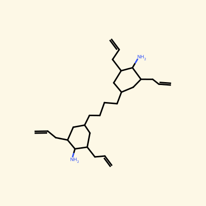 C=CCC1CC(CCCCC2CC(CC=C)C(N)C(CC=C)C2)CC(CC=C)C1N